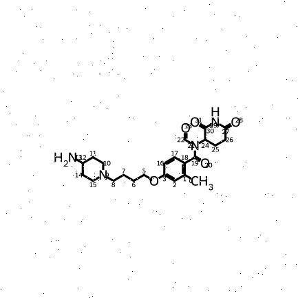 Cc1cc(OCCCCN2CCC(N)CC2)ccc1C(=O)N(C=O)C1CCC(=O)NC1=O